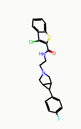 O=C(NCCN1CC2C(C1)C2c1ccc(F)cc1)c1sc2ccccc2c1Cl